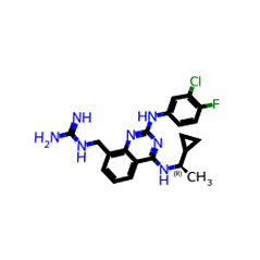 C[C@@H](Nc1nc(Nc2ccc(F)c(Cl)c2)nc2c(CNC(=N)N)cccc12)C1CC1